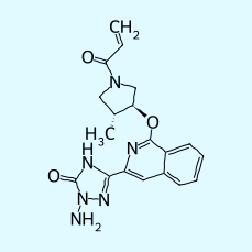 C=CC(=O)N1C[C@@H](C)[C@H](Oc2nc(-c3nn(N)c(=O)[nH]3)cc3ccccc23)C1